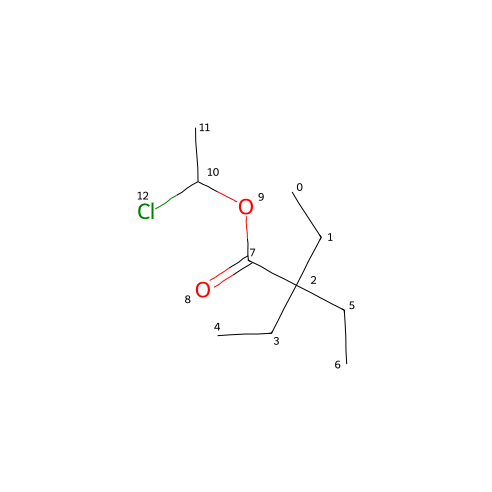 CCC(CC)(CC)C(=O)OC(C)Cl